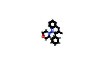 CC(Cc1ccccc1)=C(NN1CCOCC1)c1ccccc1